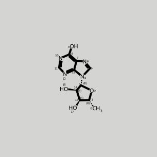 C[C@H]1O[C@@H](n2cnc3c(O)ncnc32)[C@H](O)[C@@H]1O